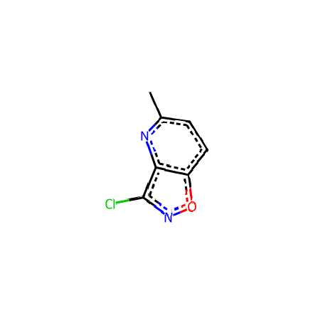 Cc1ccc2onc(Cl)c2n1